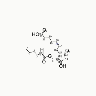 CCCCNC(=O)OC[C@H]1[C@H](O)CC(=O)[C@@H]1C/C=C\CCCC(=O)O